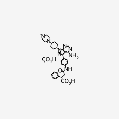 CC(=O)O.CN1CCN([C@H]2CC[C@@H](n3nc(-c4ccc(NC(=O)CC(C(=O)O)c5ccccc5)cc4)c4c(N)ncnc43)CC2)CC1